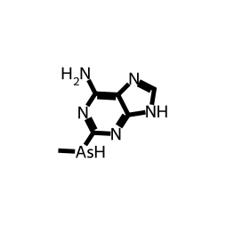 C[AsH]c1nc(N)c2nc[nH]c2n1